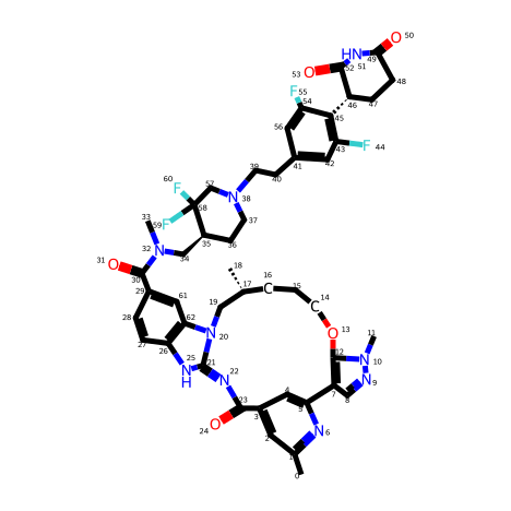 Cc1cc2cc(n1)-c1cnn(C)c1OCCC[C@@H](C)CN1/C(=N/C2=O)Nc2ccc(C(=O)N(C)C[C@@H]3CCN(CCc4cc(F)c([C@H]5CCC(=O)NC5=O)c(F)c4)CC3(F)F)cc21